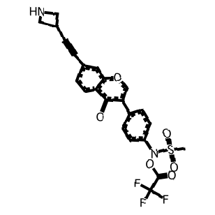 CS(=O)(=O)N(OC(=O)C(F)(F)F)c1ccc(-c2coc3cc(C#CC4CNC4)ccc3c2=O)cc1